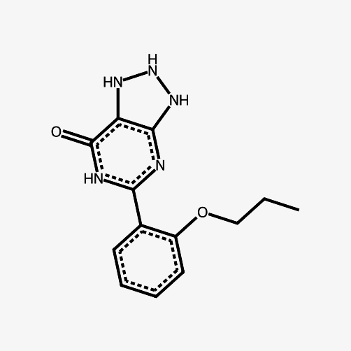 CCCOc1ccccc1-c1nc2c(c(=O)[nH]1)NNN2